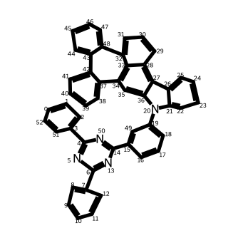 c1ccc(-c2nc(-c3ccccc3)nc(-c3cccc(-n4c5ccccc5c5c6cccc7c6c(cc54)-c4ccccc4-c4ccccc4-7)c3)n2)cc1